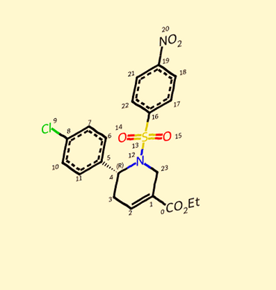 CCOC(=O)C1=CC[C@H](c2ccc(Cl)cc2)N(S(=O)(=O)c2ccc([N+](=O)[O-])cc2)C1